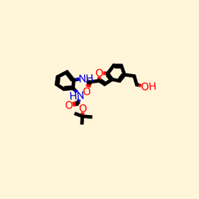 CC(C)(C)OC(=O)Nc1ccccc1NC(=O)c1cc2cc(CCO)ccc2o1